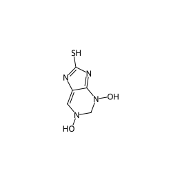 ON1C=C2N=C(S)N=C2N(O)C1